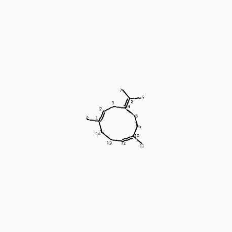 CC1=CCC(=C(C)C)CCC(C)=CCC1